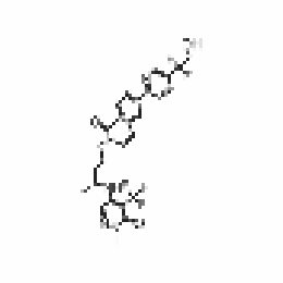 C[C@@H](CCCn1ccc2cc(-c3ccc(C(F)(F)CO)cn3)c(F)cc2c1=O)Nc1cn[nH]c(=O)c1C(F)(F)F